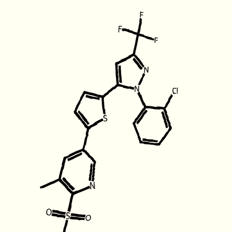 Cc1cc(-c2ccc(-c3cc(C(F)(F)F)nn3-c3ccccc3Cl)s2)cnc1S(C)(=O)=O